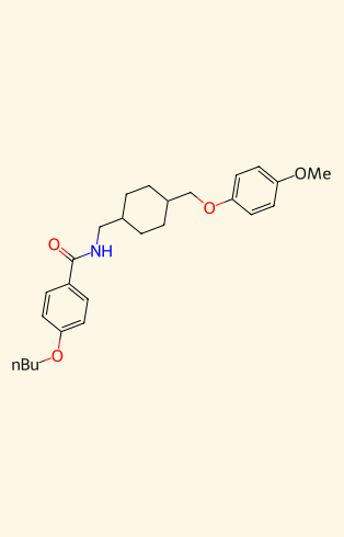 CCCCOc1ccc(C(=O)NCC2CCC(COc3ccc(OC)cc3)CC2)cc1